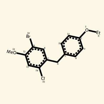 CCOc1ccc(Cc2cc(Br)c(OC)cc2Cl)cc1